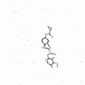 COc1c(C)cnc(CS(=N)c2nc3cc(OC(=O)C4CC4)ccc3[nH]2)c1C